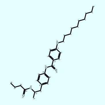 CCCCCCCCCCOc1ccc(C(=O)Oc2ccc(CC(C)OC(=O)CCC)cc2)cc1